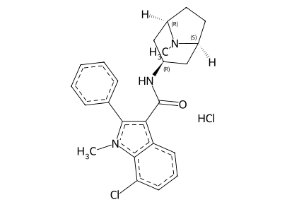 CN1[C@@H]2CC[C@H]1C[C@@H](NC(=O)c1c(-c3ccccc3)n(C)c3c(Cl)cccc13)C2.Cl